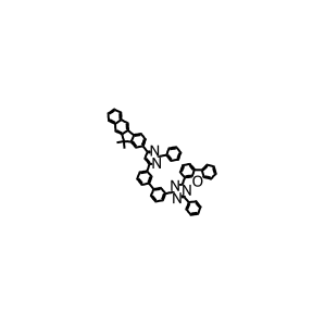 CC1(C)c2cc(-c3cc(-c4cccc(-c5cccc(-c6nc(-c7ccccc7)nc(-c7cccc8c7oc7ccccc78)n6)c5)c4)nc(-c4ccccc4)n3)ccc2-c2cc3ccccc3cc21